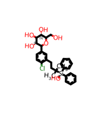 CC(C)(CCc1cc(C2OC(CO)[C@@H](O)C(O)[C@H]2O)ccc1Cl)[Si](O)(c1ccccc1)c1ccccc1